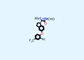 CSC(C(=O)NC=O)[C@@H]1CCc2cc(Oc3ccc(C(F)(F)F)cc3C(C)=O)ccc21